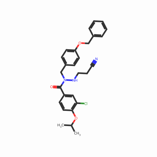 CC(C)Oc1ccc(C(=O)N(Cc2ccc(OCc3ccccc3)cc2)NCCC#N)cc1Cl